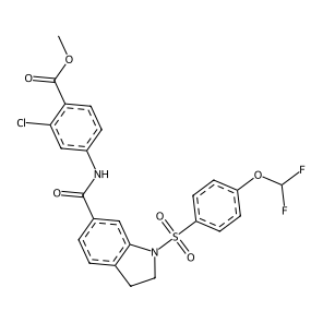 COC(=O)c1ccc(NC(=O)c2ccc3c(c2)N(S(=O)(=O)c2ccc(OC(F)F)cc2)CC3)cc1Cl